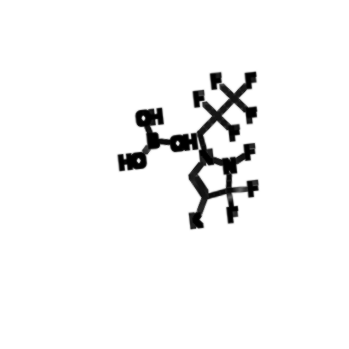 FN1N(CC(F)(F)C(F)(F)F)C=[C]([K])C1(F)F.OB(O)O